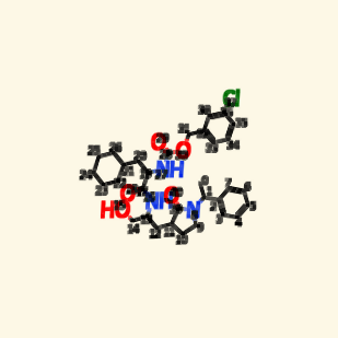 CC(c1ccccc1)N1CCC(CC(CO)NC(=O)C(CC2CCCCC2)NC(=O)OCc2cccc(Cl)c2)C1=O